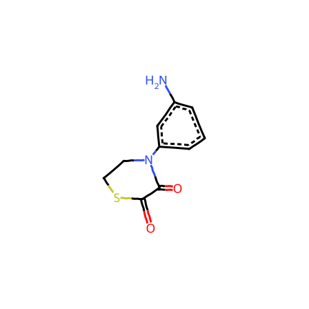 Nc1cccc(N2CCSC(=O)C2=O)c1